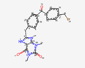 Cn1c(=O)c2[nH]c(Cc3ccc(C(=O)c4ccc(CBr)cc4)cc3)nc2n(C)c1=O